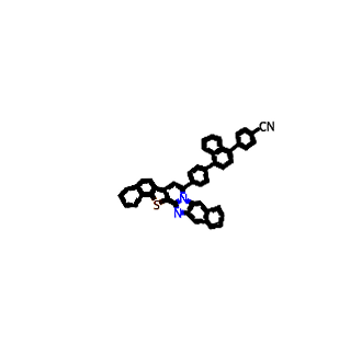 N#Cc1ccc(-c2ccc(-c3ccc(-c4cc5c6ccc7ccccc7c6sc5c5nc6cc7ccccc7cc6n45)cc3)c3ccccc23)cc1